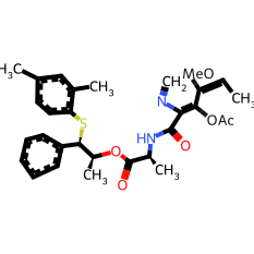 C=N/C(C(=O)N[C@@H](C)C(=O)O[C@@H](C)[C@H](Sc1ccc(C)cc1C)c1ccccc1)=C(OC(C)=O)\C(=C/C)OC